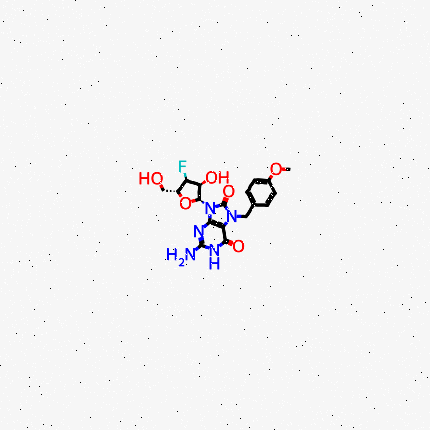 COc1ccc(Cn2c(=O)n([C@@H]3O[C@H](CO)[C@@H](F)[C@H]3O)c3nc(N)[nH]c(=O)c32)cc1